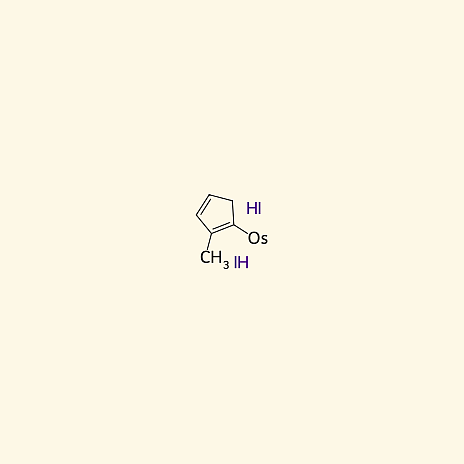 CC1=[C]([Os])CC=C1.I.I